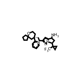 NC1CC(C2(C(F)(F)F)CC2)n2nc(CC[C@@]3(c4ccccn4)CCOC4(CCCC4)C3)cc21